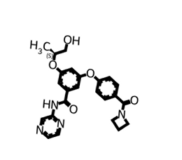 C[C@@H](CO)Oc1cc(Oc2ccc(C(=O)N3CCC3)cc2)cc(C(=O)Nc2cnccn2)c1